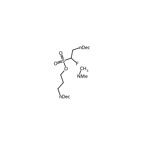 CCCCCCCCCCCCCOS(=O)(=O)C(F)CCCCCCCCCCC.CNC